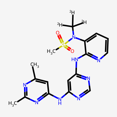 [2H]C([2H])([2H])N(c1cccnc1Nc1cc(Nc2cc(C)nc(C)n2)ncn1)S(C)(=O)=O